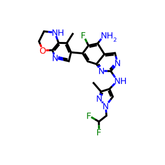 Cc1nn(CC(F)F)cc1Nc1ncc2c(N)c(F)c(-c3cnc4c(c3C)NCCO4)cc2n1